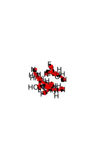 CC(C)(CN(C(=O)c1cccc(N)c1)c1ccc(NC(=O)NCCc2cccnc2)cc1C#Cc1ccc(F)cc1)N(C(=O)O)c1cccc(C(=O)Nc2ccc(NC(=O)NCCc3cccnc3)cc2C#Cc2ccc(F)cc2)c1.Nc1cccc(C(=O)Nc2ccc(NC(=O)NCCc3cccnc3)cc2C#Cc2ccc(F)cc2)c1